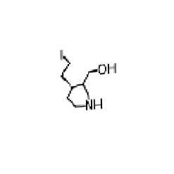 OCC1CNCC[C@H]1CCI